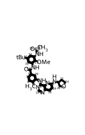 COc1c(NC(=O)c2ccc(C)c(Nc3ncnc4ccc(NC5CCOC5)nc34)c2)cc(C(C)(C)C)cc1N[S+](C)[O-]